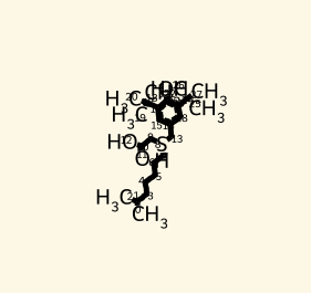 CC(C)CCCCC[SH](CC(=O)O)Cc1cc(C(C)(C)C)c(O)c(C(C)(C)C)c1